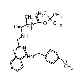 COc1ccc(CNc2nc(CNC(=O)[C@@H](C)NC(=O)OC(C)(C)C)nc3ccccc23)cc1